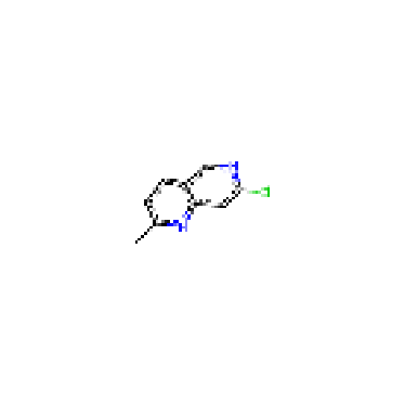 Cc1ccc2cnc(Cl)cc2n1